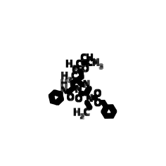 C=CCN(C(=O)OCc1ccccc1)c1cnc2n(c1=O)C(C(=O)Nc1ccccc1)CC2(C)CC(=O)OC(C)(C)C